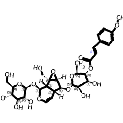 COc1ccc(/C=C/C(=O)O[C@@H]2[C@@H](O)[C@@H](O)[C@H](O[C@H]3[C@@H]4C=CO[C@@H](O[C@@H]5O[C@H](CO)[C@@H](O)[C@H](O)[C@H]5O)[C@@H]4[C@@]4(CO)O[C@@H]34)O[C@H]2C)cc1